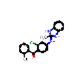 Cc1ccccc1C(=O)c1ccc(NC2(C)Nc3ccccc3N2)cc1Cl